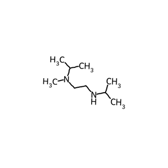 CC(C)NCCN(C)C(C)C